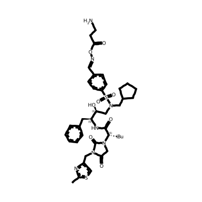 CCC(C)[C@@H](C(=O)N[C@@H](Cc1ccccc1)[C@@H](O)CN(CC1CCCC1)S(=O)(=O)c1ccc(C=NOC(=O)CCN)cc1)N1CC(=O)N(Cc2csc(C)n2)C1=O